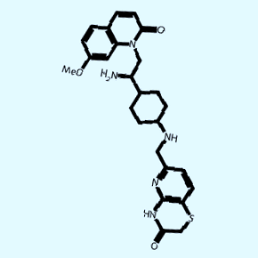 COc1ccc2ccc(=O)n(CC(N)C3CCC(NCc4ccc5c(n4)NC(=O)CS5)CC3)c2c1